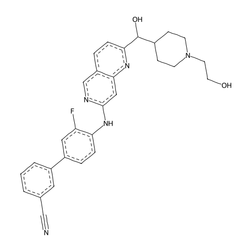 N#Cc1cccc(-c2ccc(Nc3cc4nc(C(O)C5CCN(CCO)CC5)ccc4cn3)c(F)c2)c1